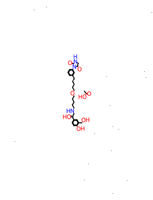 CC(=O)O.O=C1CNC(=O)N1c1cccc(CCCCCOCCCCCNC[C@H](O)c2ccc(O)c(CO)c2)c1